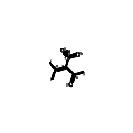 CC(=O)C(=C(C)C)[SH](=O)=O